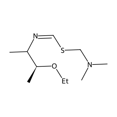 CCO[C@@H](C)C(C)/N=C\SCN(C)C